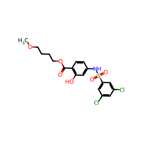 COCCCCOC(=O)c1ccc(NS(=O)(=O)c2cc(Cl)cc(Cl)c2)cc1O